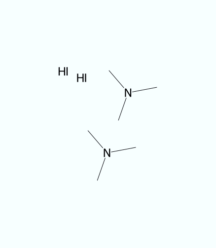 CN(C)C.CN(C)C.I.I